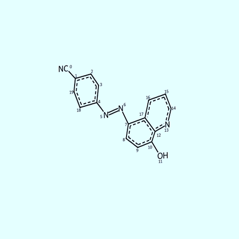 N#Cc1ccc(N=Nc2ccc(O)c3ncccc23)cc1